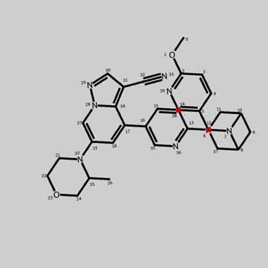 COc1ccc(CN2C3CC2CN(c2ccc(-c4cc(N5CCOCC5C)cn5ncc(C#N)c45)cn2)C3)cn1